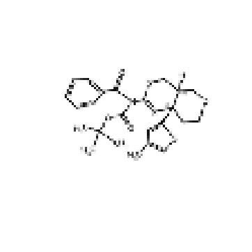 Bc1csc([C@]23CCOC[C@H]2CSC(N(C(=O)OC(C)(C)C)C(=O)c2ccccc2)=N3)c1